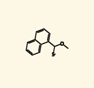 COC([S])c1cccc2ccccc12